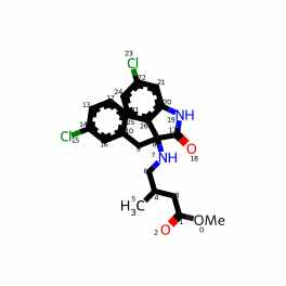 COC(=O)CC(C)CNC1(Cc2cccc(Cl)c2)C(=O)Nc2cc(Cl)ccc21